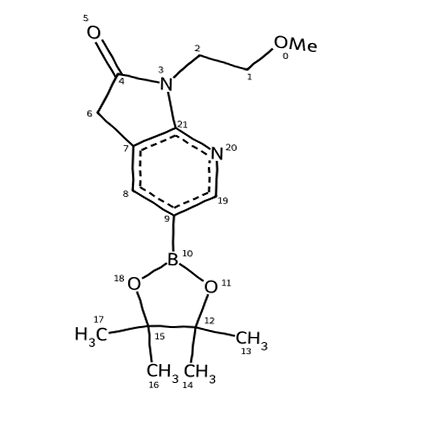 COCCN1C(=O)Cc2cc(B3OC(C)(C)C(C)(C)O3)cnc21